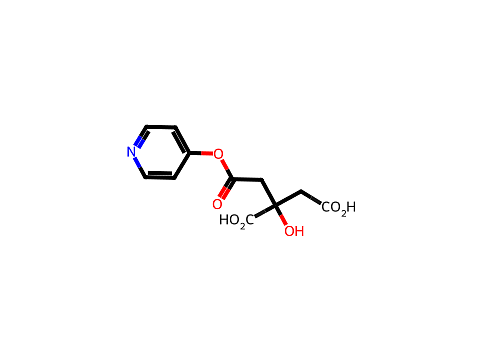 O=C(O)CC(O)(CC(=O)Oc1ccncc1)C(=O)O